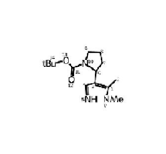 CN/C(C)=C(\C=N)C1CCCN1C(=O)OC(C)(C)C